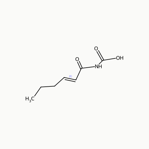 CCC/C=C/C(=O)NC(=O)O